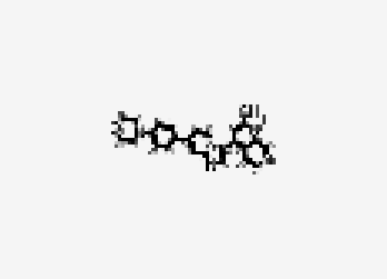 Cc1cc(-c2cnc3cc(-c4ccc(N5CCOCC5)cc4)ccn23)c2ccncc2n1